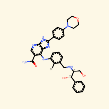 CCc1c(CN[C@@H](CO)[C@@H](O)c2ccccc2)cccc1Nc1c(C(N)=O)cnc2[nH]c(-c3ccc(N4CCOCC4)cc3)nc12